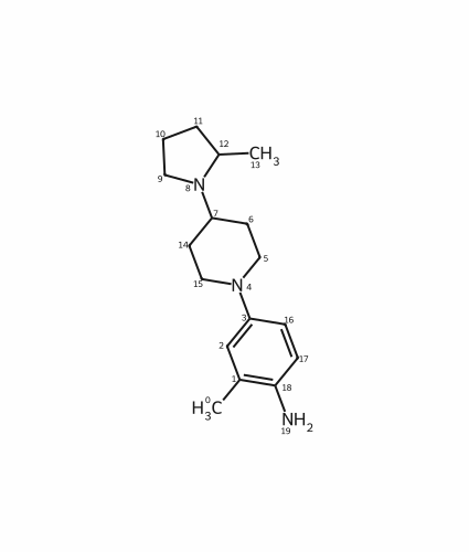 Cc1cc(N2CCC(N3CCCC3C)CC2)ccc1N